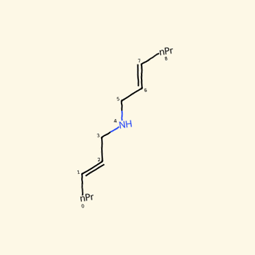 CCC/C=C/CNC/C=C/CCC